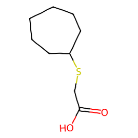 O=C(O)CSC1CCCCCC1